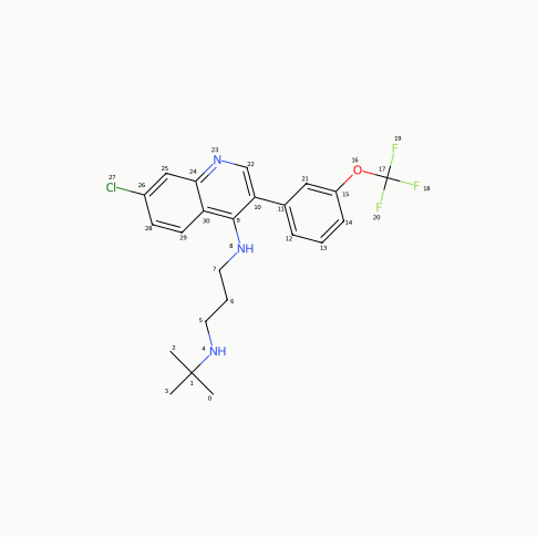 CC(C)(C)NCCCNc1c(-c2cccc(OC(F)(F)F)c2)cnc2cc(Cl)ccc12